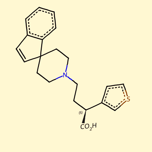 O=C(O)[C@@H](CCN1CCC2(C=Cc3ccccc32)CC1)c1ccsc1